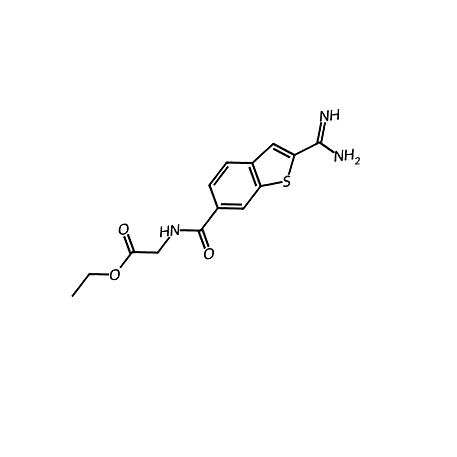 CCOC(=O)CNC(=O)c1ccc2cc(C(=N)N)sc2c1